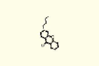 CCCCc1ccc2c(=O)c3ccccc3oc2c1